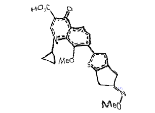 CO/N=C1/Cc2cc(-c3ccc4c(=O)c(C(=O)O)cn(C5CC5)c4c3OC)sc2C1